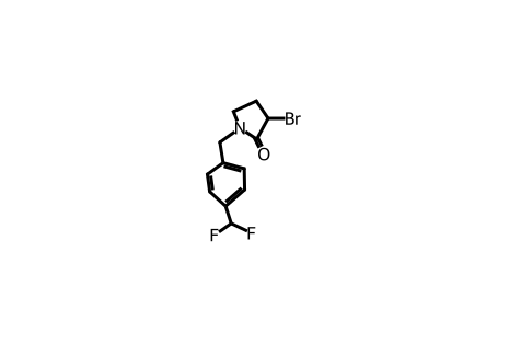 O=C1C(Br)CCN1Cc1ccc(C(F)F)cc1